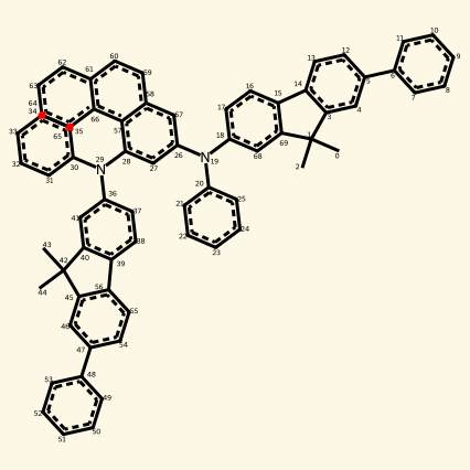 CC1(C)c2cc(-c3ccccc3)ccc2-c2ccc(N(c3ccccc3)c3cc(N(c4ccccc4)c4ccc5c(c4)C(C)(C)c4cc(-c6ccccc6)ccc4-5)c4c(ccc5ccccc54)c3)cc21